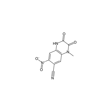 Cn1c(=O)c(=O)[nH]c2cc([N+](=O)[O-])c(C#N)cc21